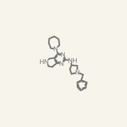 c1ccc(CN2CCC(Nc3nc4c(c(N5CCCCCC5)n3)CNCC4)C2)cc1